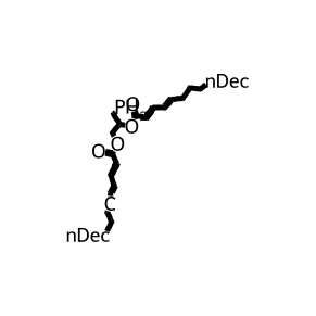 CCCCCCCCCCCCC/C=C/C=C/C(=O)OCC(CP)OC(=O)/C=C/C=C/CCCCCCCCCCCCC